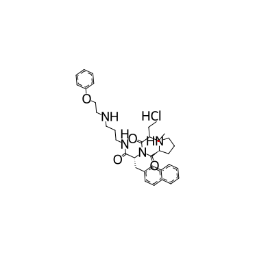 CCC(CC)C(=O)N(C(=O)[C@@H]1CCCN1)[C@H](Cc1ccc2ccccc2c1)C(=O)NCCCNCCOc1ccccc1.Cl